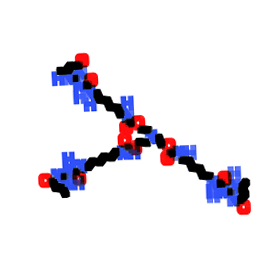 Cc1cc(=O)nc(NC(=O)NCCCCCCNC(=O)OCCN(CCOC(=O)NCCCCCCNC(=O)Nc2nc(=O)cc(C)[nH]2)CCOC(=O)NCCCCCCNC(=O)Nc2nc(=O)cc(C)[nH]2)[nH]1